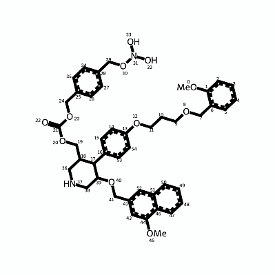 COc1ccccc1COCCCOc1ccc(C2C(COC(=O)OCc3ccc(CON(O)O)cc3)CNCC2OCc2cc(OC)c3ccccc3c2)cc1